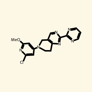 COc1cc(N2CCc3nc(-c4ncccn4)ncc3C2)cc(Cl)n1